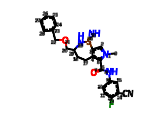 Cn1cc2c(c1C(=O)Nc1ccc(F)c(C#N)c1)CCC(COCc1ccccc1)NS2=N